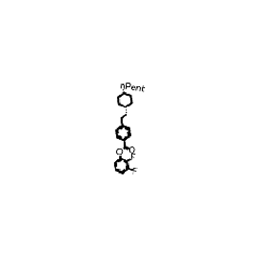 CCCCC[C@H]1CC[C@H](CCc2ccc(C(=O)Oc3cccc(F)c3F)cc2)CC1